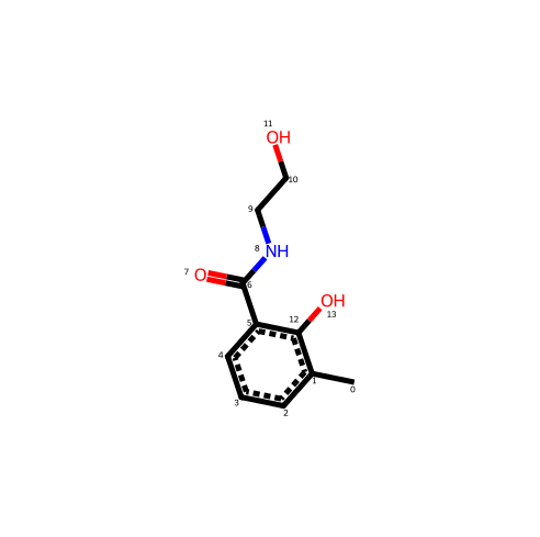 Cc1cccc(C(=O)NCCO)c1O